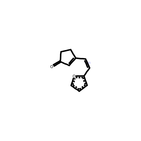 O=C1C=C(/C=C\c2ccco2)CC1